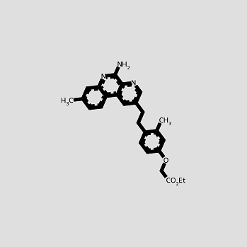 CCOC(=O)COc1ccc(CCc2cnc3c(N)nc4cc(C)ccc4c3c2)c(C)c1